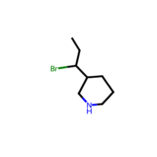 CCC(Br)C1CCCNC1